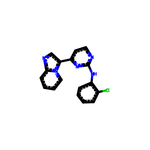 Clc1ccccc1Nc1nccc(-c2cnc3ccccn23)n1